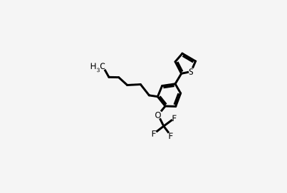 CCCCCCc1cc(-c2cccs2)ccc1OC(F)(F)F